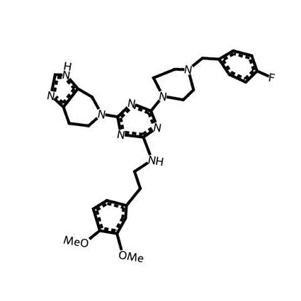 COc1ccc(CCNc2nc(N3CCN(Cc4ccc(F)cc4)CC3)nc(N3CCc4nc[nH]c4C3)n2)cc1OC